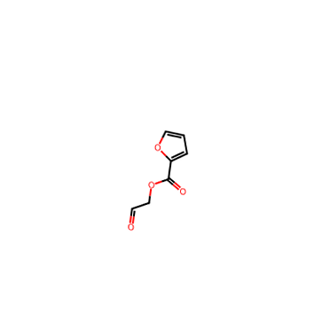 O=CCOC(=O)c1ccco1